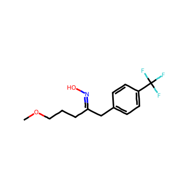 COCCCC(Cc1ccc(C(F)(F)F)cc1)=NO